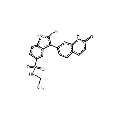 CCNS(=O)(=O)c1ccc2[nH]c(O)c(-c3ccc4ccc(=O)[nH]c4n3)c2c1